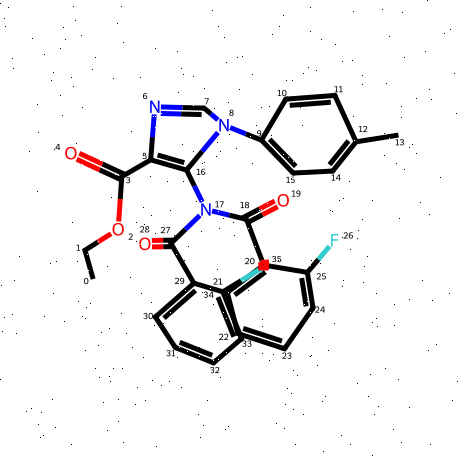 CCOC(=O)c1ncn(-c2ccc(C)cc2)c1N(C(=O)c1ccccc1F)C(=O)c1ccccc1F